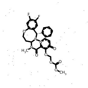 COC(=O)OCOc1c2n(ccc1=O)N1C(CCOc3cc(F)c(F)cc3[C@@H]1c1ccccc1)N(C)C2=O